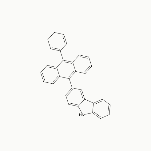 C1=CC(c2c3ccccc3c(-c3ccc4[nH]c5ccccc5c4c3)c3ccccc23)=CCC1